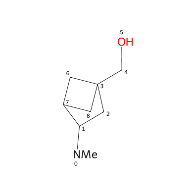 CNC1CC2(CO)CC1C2